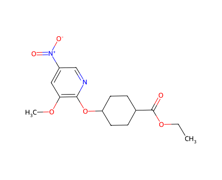 CCOC(=O)C1CCC(Oc2ncc([N+](=O)[O-])cc2OC)CC1